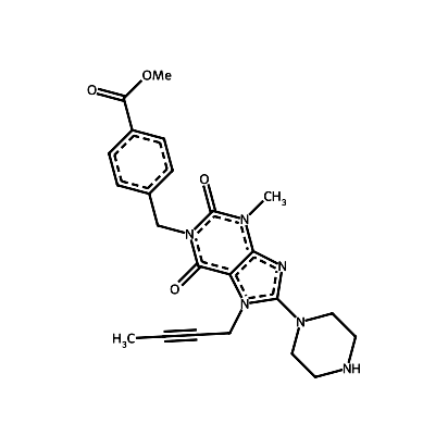 CC#CCn1c(N2CCNCC2)nc2c1c(=O)n(Cc1ccc(C(=O)OC)cc1)c(=O)n2C